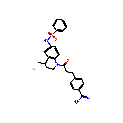 CC1CCN(C(=O)CCc2ccc(C(=N)N)cc2)c2ccc(NS(=O)(=O)c3ccccc3)cc21.Cl